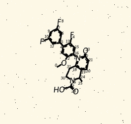 COc1cc(-c2cc(F)cc(F)c2)c(F)cc1-n1c2c(ccc1=O)C(C)N(C(=O)O)CC2